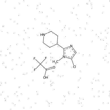 Cn1c(Cl)cnc1C1CCNCC1.O=C(O)C(F)(F)F